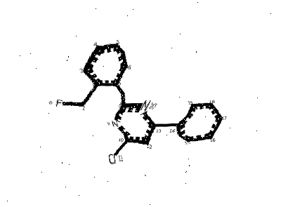 FCc1ccccc1-c1nc(Cl)cc(-c2ccccc2)n1